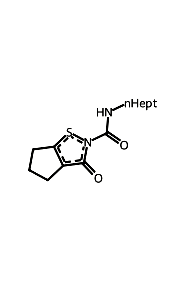 CCCCCCCNC(=O)n1sc2c(c1=O)CCC2